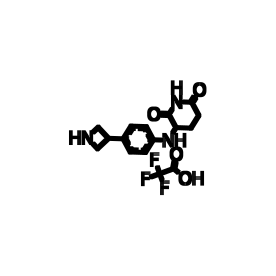 O=C(O)C(F)(F)F.O=C1CCC(Nc2ccc(C3CNC3)cc2)C(=O)N1